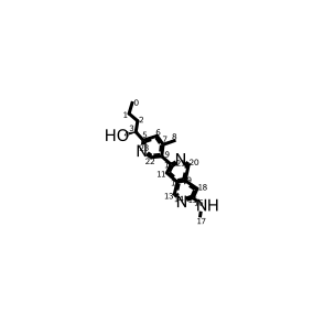 CCC[C@H](O)c1cc(C)c(-c2cc3cnc(NC)cc3cn2)cn1